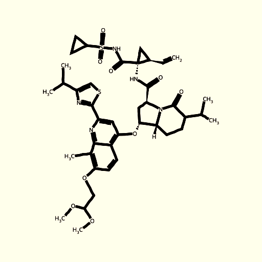 C=C[C@@H]1C[C@]1(NC(=O)[C@@H]1C[C@@H](Oc2cc(-c3nc(C(C)C)cs3)nc3c(C)c(OCC(OC)OC)ccc23)[C@H]2CCC(C(C)C)C(=O)N21)C(=O)NS(=O)(=O)C1CC1